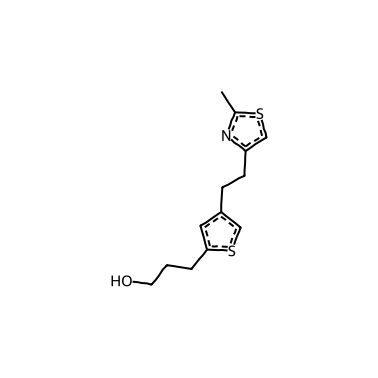 Cc1nc(CCc2csc(CCCO)c2)cs1